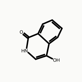 O=c1[nH]cc(O)c2ccccc12